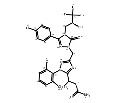 CC(OC(N)=O)c1nc(Cn2nc(-c3ccc(Cl)cc3)n(C[C@H](O)C(F)(F)F)c2=O)nn1-c1c(Cl)cccc1Cl